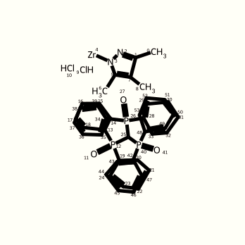 Cc1n[n]([Zr])c(C)c1C.Cl.Cl.O=P(c1ccccc1)(c1ccccc1)C(P(=O)(c1ccccc1)c1ccccc1)P(=O)(c1ccccc1)c1ccccc1